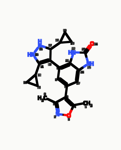 Cc1noc(C)c1-c1cc(C2=C(C3CC3)NNC2C2CC2)c2[nH]c(=O)[nH]c2c1